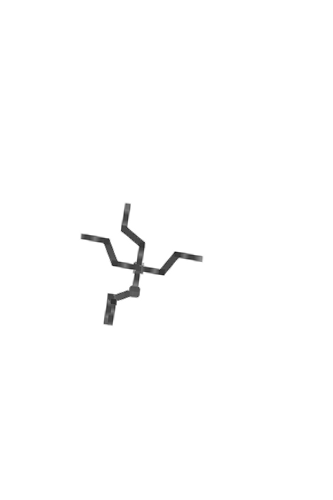 C=NO[Si](CCC)(CCC)CCC